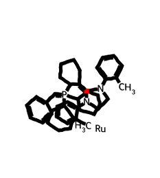 Cc1ccccc1N1CCN(c2ccccc2C)C1=C1CCCCC1P(=Cc1ccccc1)(C1CCCCC1)C1CCCCC1.[Ru]